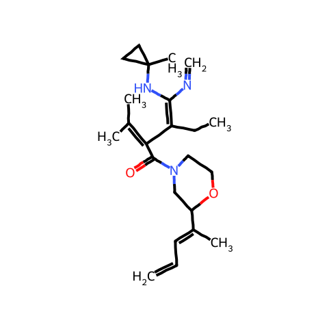 C=C/C=C(\C)C1CN(C(=O)C(=C(C)C)/C(CC)=C(/N=C)NC2(C)CC2)CCO1